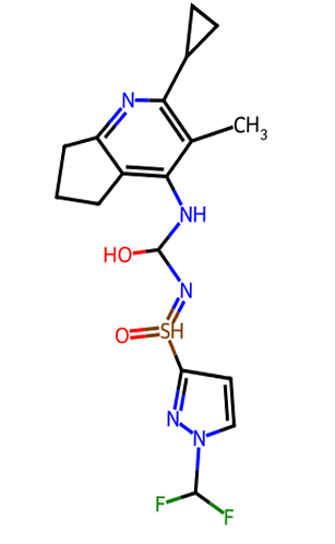 Cc1c(C2CC2)nc2c(c1NC(O)/N=[SH](=O)/c1ccn(C(F)F)n1)CCC2